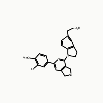 COc1ccc(-c2nc3c(c(N4CCc5cc(CC(=O)O)ccc54)n2)CSC3)cc1Cl